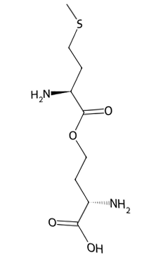 CSCC[C@H](N)C(=O)OCC[C@H](N)C(=O)O